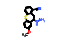 COc1ccc2c(c1)C(NN)Cc1c(C#N)cccc1S2